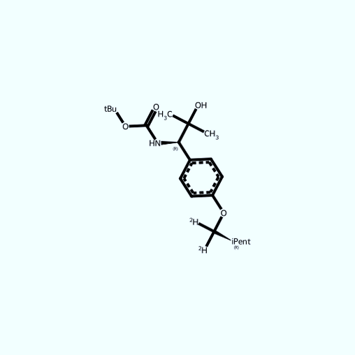 [2H]C([2H])(Oc1ccc([C@@H](NC(=O)OC(C)(C)C)C(C)(C)O)cc1)[C@H](C)CCC